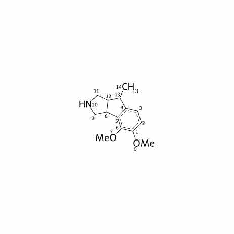 COc1ccc2c(c1OC)C1CNCC1C2C